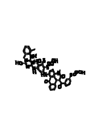 Cc1cccc(C)c1Nc1nc(O)nc(Nc2cc(Nc3ccc4c5c3C(=O)c3ccccc3-c5c(C(=O)c3cccc(SOOO)c3)c(=O)n4C)c(SOOO)cc2S(=O)(=O)O)n1